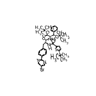 CC(C)(C)OC(=O)C(NC(=O)[C@H](Cc1ccc(-c2ncc(Br)cn2)cc1)NC(=O)c1ccc(C(C)(C)C)s1)C(OC(C)(C)C)c1ccccc1